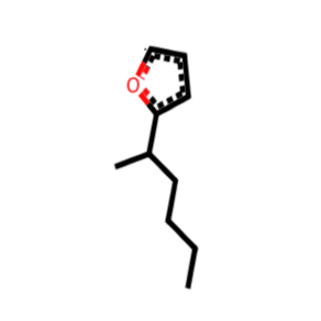 CCCCC(C)c1cc[c]o1